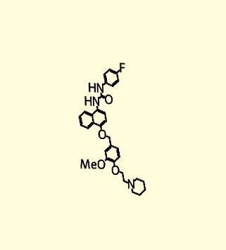 COc1cc(COc2ccc(NC(=O)Nc3ccc(F)cc3)c3ccccc23)ccc1OCCN1CCCCC1